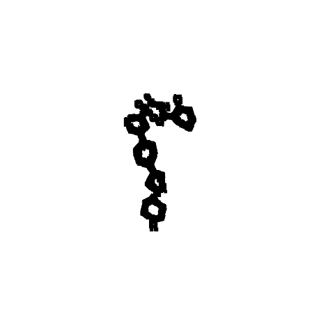 CN(NC(=O)c1ccccc1Cl)S(=O)(=O)c1cncc(-c2ccc(-c3cnn(C4CCNCC4)c3)cc2)c1